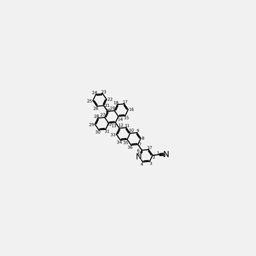 N#Cc1ccnc(-c2ccc3cc(-c4c5ccccc5c(-c5ccccc5)c5ccccc45)ccc3c2)c1